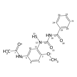 COc1ccc(NC(C)=O)cc1N(S)C(=O)NC(=O)c1ccccc1